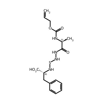 C=CCOC(=O)N[C@@H](C)C(=O)NNSN[C@H](Cc1ccccc1)C(=O)O